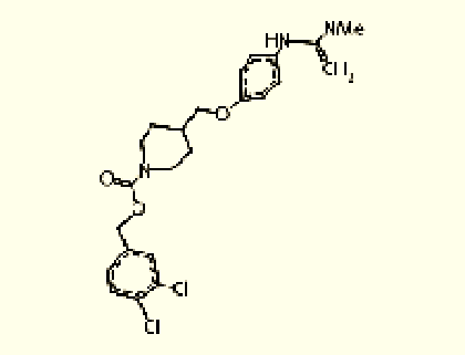 C=C(NC)Nc1ccc(OCC2CCN(C(=O)OCc3ccc(Cl)c(Cl)c3)CC2)cc1